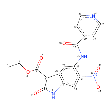 CCOC(=O)C1C(=O)Nc2cc([N+](=O)[O-])c(NC(=O)c3ccncc3)cc21